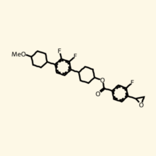 COC1CCC(c2ccc(C3CCC(OC(=O)c4ccc(C5CO5)c(F)c4)CC3)c(F)c2F)CC1